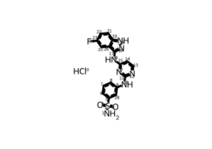 Cl.NS(=O)(=O)c1cccc(Nc2nccc(Nc3n[nH]c4ccc(F)cc34)n2)c1